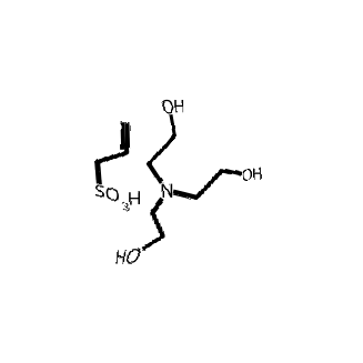 C=CCS(=O)(=O)O.OCCN(CCO)CCO